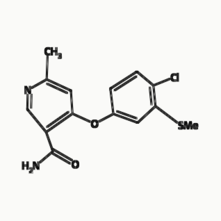 CSc1cc(Oc2cc(C)ncc2C(N)=O)ccc1Cl